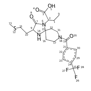 CCC(C(=O)O)N1C(=O)C(CCSC)NC12CCN(C(=O)c1ccc(C(F)(F)F)cc1)CC2